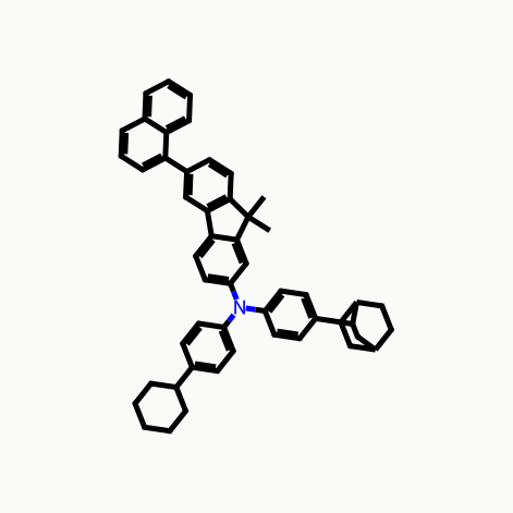 CC1(C)c2ccc(-c3cccc4ccccc34)cc2-c2ccc(N(c3ccc(C4CCCCC4)cc3)c3ccc(C4CC5CCC4CC5)cc3)cc21